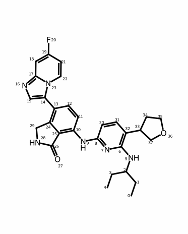 CCC(CC)Nc1nc(Nc2ccc(-c3cnc4cc(F)ccn34)c3c2C(=O)NC3)ccc1C1CCOC1